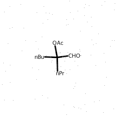 CCCCC([C]=O)(CCC)OC(C)=O